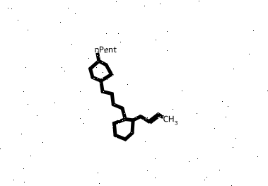 CC=CCC1CCCCC1CCCCC1CCC(CCCCC)CC1